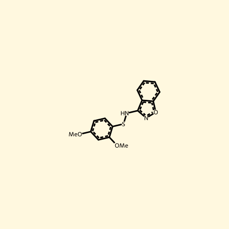 COc1ccc(SNc2noc3ccccc23)c(OC)c1